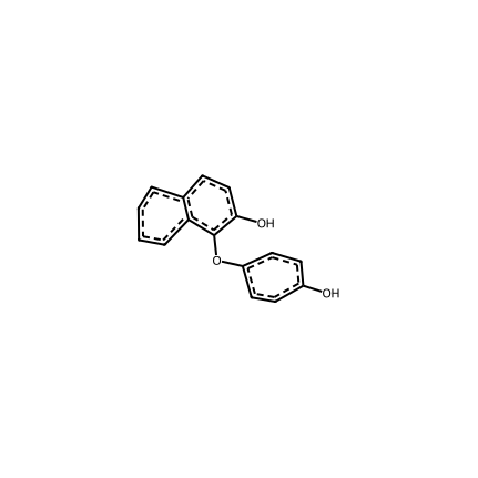 Oc1ccc(Oc2c(O)ccc3ccccc23)cc1